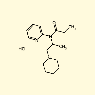 CCC(=O)N(c1ccccn1)C(C)CN1CCCCC1.Cl